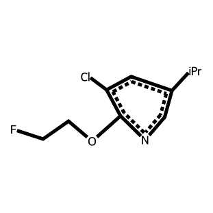 CC(C)c1cnc(OCCF)c(Cl)c1